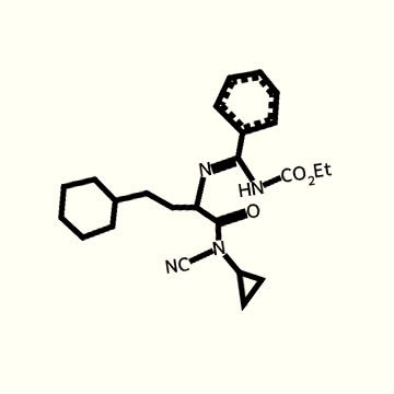 CCOC(=O)NC(=NC(CCC1CCCCC1)C(=O)N(C#N)C1CC1)c1ccccc1